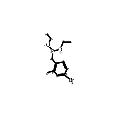 CCOP(Cc1ccc(Br)cc1C)OCC